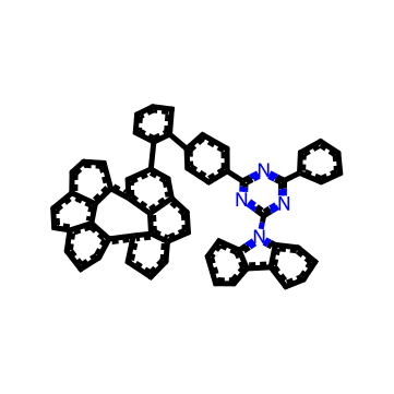 c1ccc(-c2nc(-c3ccc(-c4ccccc4-c4cc5ccc6cccc7c8cccc9ccc%10cccc(c(c4)c5c67)c%10c98)cc3)nc(-n3c4ccccc4c4ccccc43)n2)cc1